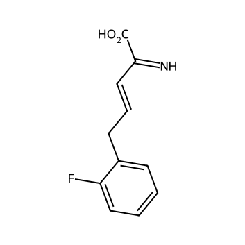 N=C(/C=C/Cc1ccccc1F)C(=O)O